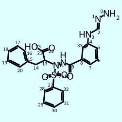 NN=CNc1cccc(C(=O)NN(C(Cc2ccccc2)C(=O)O)S(=O)(=O)c2ccccc2)c1